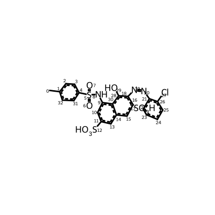 Cc1ccc(S(=O)(=O)Nc2cc(S(=O)(=O)O)cc3cc(S(=O)(=O)O)c(/N=N\c4ccccc4Cl)c(O)c23)cc1